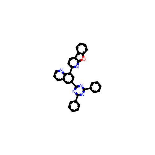 c1ccc(-c2nc(-c3ccccc3)nc(-c3cc(-c4ccc5c(n4)oc4ccccc45)c4ncccc4c3)n2)cc1